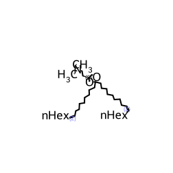 CCCCCC/C=C\CCCCCCCCC1(CCCCCCCC/C=C\CCCCCC)OC[C@H](CCN(C)C)O1